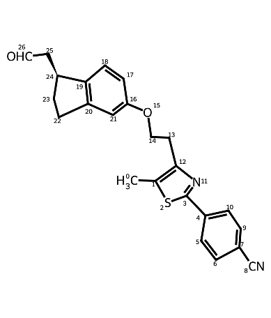 Cc1sc(-c2ccc(C#N)cc2)nc1CCOc1ccc2c(c1)CC[C@H]2CC=O